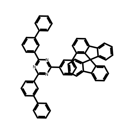 c1ccc(-c2cccc(-c3nc(-c4cccc(-c5ccccc5)c4)nc(-c4cccc(-c5cccc6c5C5(c7ccccc7-c7ccccc75)c5ccccc5-6)c4)n3)c2)cc1